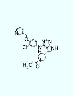 C=CC(=O)N1CCC(c2c[nH]c3ncnc(Nc4ccc(OCc5cccnc5)c(Cl)c4)c23)CC1